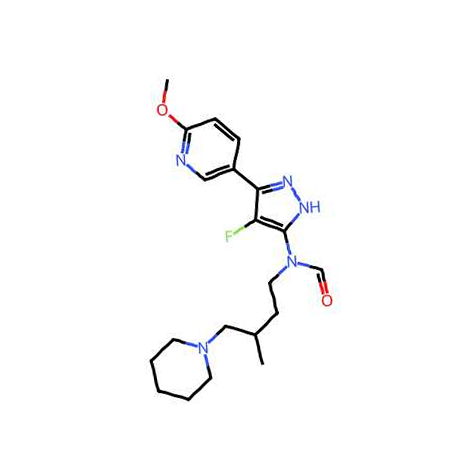 COc1ccc(-c2n[nH]c(N(C=O)CCC(C)CN3CCCCC3)c2F)cn1